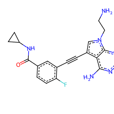 NCCn1cc(C#Cc2cc(C(=O)NC3CC3)ccc2F)c2c(N)ncnc21